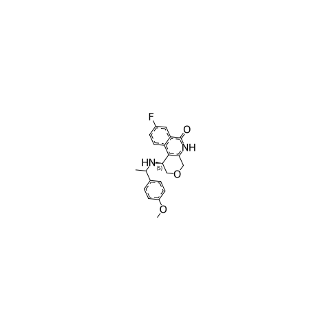 COc1ccc(C(C)N[C@@H]2COCc3[nH]c(=O)c4cc(F)ccc4c32)cc1